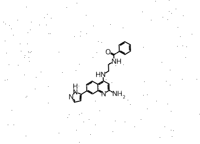 Nc1cc(NCCNC(=O)c2ccccc2)c2ccc(-c3ccn[nH]3)cc2n1